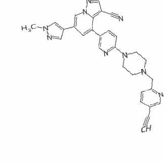 C#Cc1ccc(CN2CCN(c3ccc(-c4cc(-c5cnn(C)c5)cn5ncc(C#N)c45)cn3)CC2)nc1